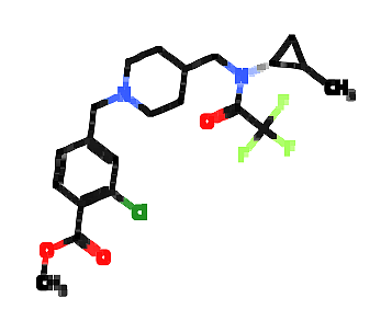 COC(=O)c1ccc(CN2CCC(CN(C(=O)C(F)(F)F)[C@@H]3CC3C)CC2)cc1Cl